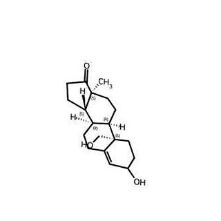 C[C@]12CC[C@@H]3[C@@H](CCC4=CC(O)CC[C@@]43CO)[C@@H]1CCC2=O